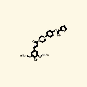 CCCCCCCCCOc1cc(/C=C/C(=O)N2CCN(c3ccc(NC(=N)c4cccs4)cc3)CC2)cc(OCCCCCCCCC)c1O